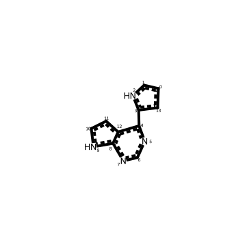 c1c[nH]c(-c2ncnc3[nH]ccc23)c1